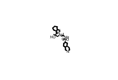 C[C@H](CNCC(C)(O)c1nsc2ccccc12)NS(=O)(=O)c1ccc2cnccc2c1